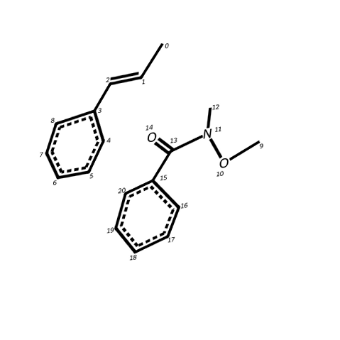 C/C=C/c1ccccc1.CON(C)C(=O)c1ccccc1